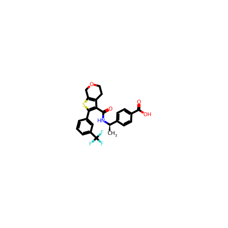 C[C@@H](NC(=O)c1c(-c2cccc(C(F)(F)F)c2)sc2c1CCOC2)c1ccc(C(=O)O)cc1